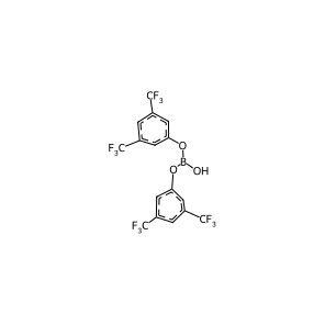 OB(Oc1cc(C(F)(F)F)cc(C(F)(F)F)c1)Oc1cc(C(F)(F)F)cc(C(F)(F)F)c1